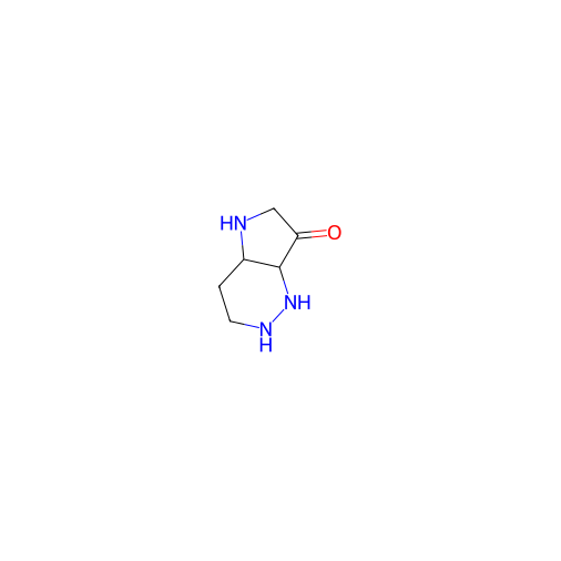 O=C1CNC2CCNNC12